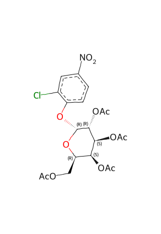 CC(=O)OC[C@H]1O[C@H](Oc2ccc([N+](=O)[O-])cc2Cl)[C@H](OC(C)=O)[C@@H](OC(C)=O)[C@H]1OC(C)=O